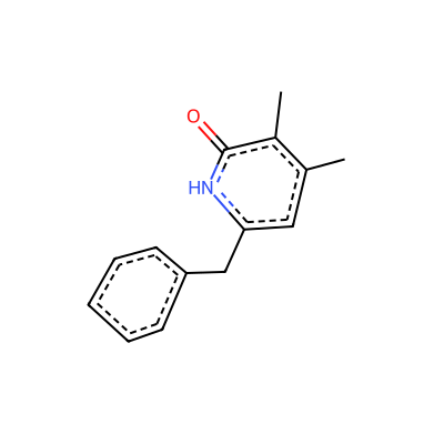 Cc1cc(Cc2ccccc2)[nH]c(=O)c1C